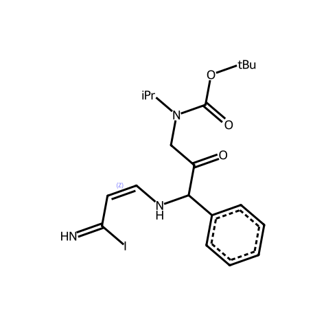 CC(C)N(CC(=O)C(N/C=C\C(=N)I)c1ccccc1)C(=O)OC(C)(C)C